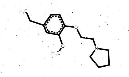 CCc1ccc(OCCN2CCCC2)c(OC)c1